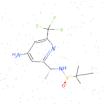 C[C@@H](N[S@+]([O-])C(C)(C)C)c1cc(N)cc(C(F)(F)F)n1